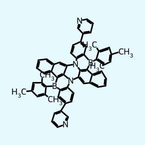 Cc1cc(C)c(B2c3cc(-c4cccnc4)ccc3N3c4cc5ccccc5c5c4N(c4ccc(-c6cccnc6)cc4B5c4c(C)cc(C)cc4C)c4cc5ccccc5c2c43)c(C)c1